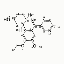 CCOc1cc2c(cc1OC)C(c1cnc(C)cn1)=N[C@@H]1CC[C@@H](O)C[C@H]21